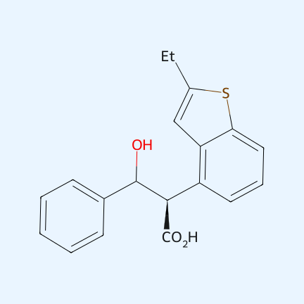 CCc1cc2c([C@@H](C(=O)O)C(O)c3ccccc3)cccc2s1